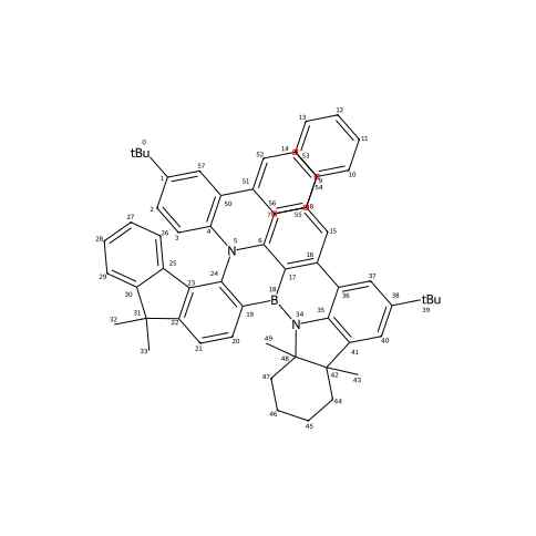 CC(C)(C)c1ccc(N2c3cc(-c4ccccc4)cc4c3B(c3ccc5c(c32)-c2ccccc2C5(C)C)N2c3c-4cc(C(C)(C)C)cc3C3(C)CCCCC23C)c(-c2ccccc2)c1